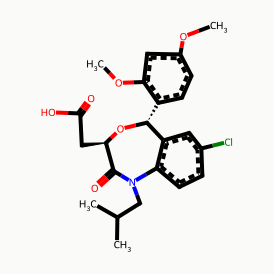 COc1ccc([C@H]2O[C@H](CC(=O)O)C(=O)N(CC(C)C)c3ccc(Cl)cc32)c(OC)c1